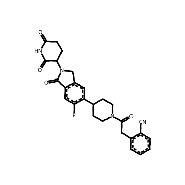 N#Cc1ccccc1CC(=O)N1CCC(c2cc3c(cc2F)C(=O)N(C2CCC(=O)NC2=O)C3)CC1